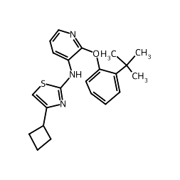 CC(C)(C)c1ccccc1Oc1ncccc1Nc1nc(C2CCC2)cs1